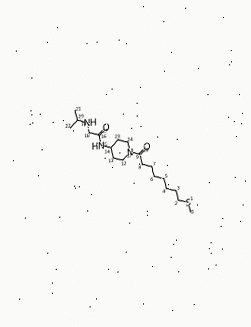 CSCCCCCCCC(=O)N1CCC(NC(=O)CNC(C)C)CC1